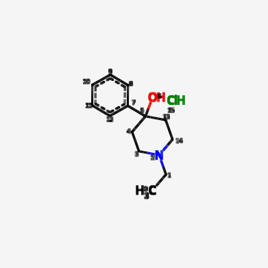 CCN1CCC(O)(c2ccccc2)CC1.Cl